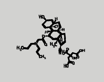 CCCN(CCC)CC(=O)O[C@H]1C[C@]2(C)[C@@H](C#N)CC[C@H]2[C@@H]2CC[C@H]3C[C@H](O)CC[C@]3(C)[C@H]21.O=C(O)CC(O)(CC(=O)O)C(=O)O